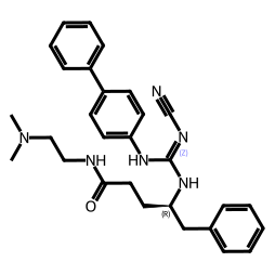 CN(C)CCNC(=O)CC[C@H](Cc1ccccc1)N/C(=N/C#N)Nc1ccc(-c2ccccc2)cc1